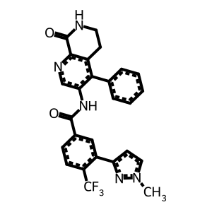 Cn1ccc(-c2cc(C(=O)Nc3cnc4c(c3-c3ccccc3)CCNC4=O)ccc2C(F)(F)F)n1